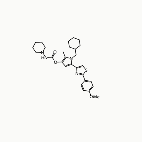 COc1ccc(-c2nc(-c3cc(OC(=O)NN4CCCCC4)c(C)n3CC3CCCCC3)cs2)cc1